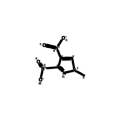 Cn1cc([N+](=O)[O-])c([N+](=O)[O-])n1